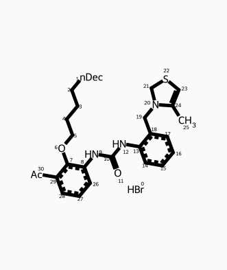 Br.CCCCCCCCCCCCCCOc1c(NC(=O)Nc2ccccc2CN2CSC=C2C)cccc1C(C)=O